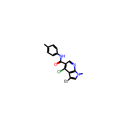 CCc1cn(C)c2ncc(C(=O)Nc3ccc(C)cc3)c(Cl)c12